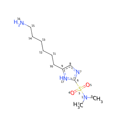 CN(C)S(=O)(=O)c1ncc(CCCCCCN)[nH]1